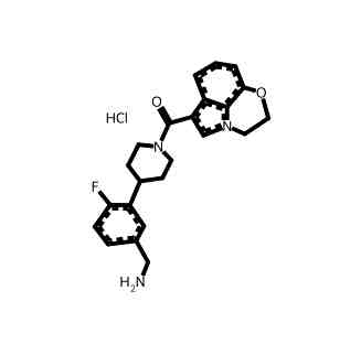 Cl.NCc1ccc(F)c(C2CCN(C(=O)c3cn4c5c(cccc35)OCC4)CC2)c1